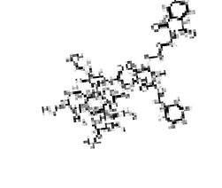 CCOP(=O)(CNC(=O)[C@H](CC(C)C)NC(=O)[C@H](CCCCN1C(=O)c2ccccc2C1=O)NC(=O)OCc1ccccc1)C[C@@H](CC(C)C)C(=O)N[C@@H](CC(C)C)C(=O)NC